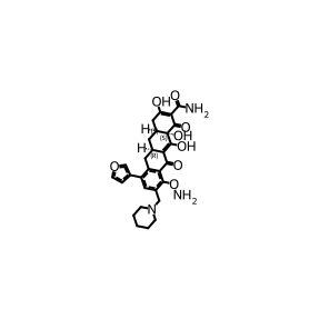 NOc1c(CN2CCCCC2)cc(-c2ccoc2)c2c1C(=O)C1=C(O)[C@]3(O)C(=O)C(C(N)=O)=C(O)C[C@@H]3C[C@@H]1C2